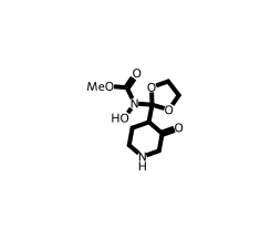 COC(=O)N(O)C1(C2CCNCC2=O)OCCO1